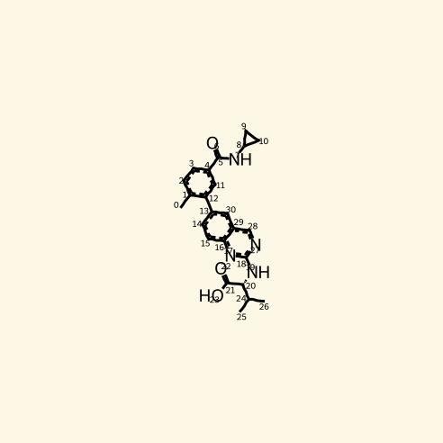 Cc1ccc(C(=O)NC2CC2)cc1-c1ccc2nc(N[C@@H](C(=O)O)C(C)C)ncc2c1